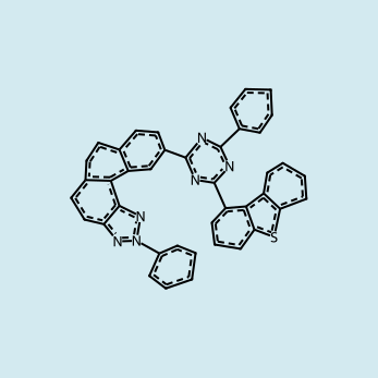 c1ccc(-c2nc(-c3ccc4ccc5ccc6nn(-c7ccccc7)nc6c5c4c3)nc(-c3cccc4sc5ccccc5c34)n2)cc1